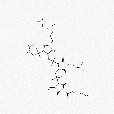 CCCC[Si](C)(C)O[Si](C)(C)CCCN1C(=O)C(CC(C)(C)C2C(=O)N(CCN(C)C)C(=O)C2CC(C)(C)C2C(=O)N(C(C)COCCOC)C(=O)C2CC(C)(C)C)C(C(C)(C)CC(C(=O)O)C(C)C(=O)OCC)C1=O